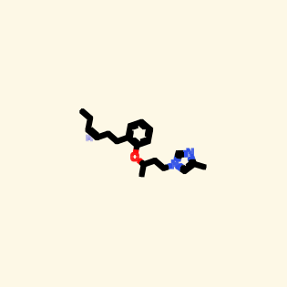 CC/C=C\CCc1ccccc1OC(C)CCn1cnc(C)c1